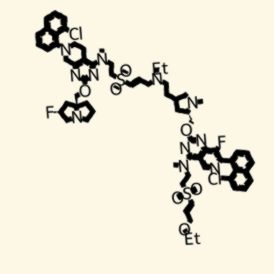 CCOC/C=C/S(=O)(=O)CCN(C)c1nc(OC[C@@H]2CC(CCN(CC)C/C=C/S(=O)(=O)CCN(C)c3nc(OC[C@@]45CCCN4C[C@H](F)C5)nc4c3CCN(c3cccc5cccc(Cl)c35)C4)CN2C)nc2c(F)c(-c3cccc4cccc(Cl)c34)ncc12